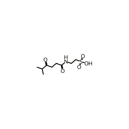 CC(C)C(=O)CCC(=O)NCCS(=O)(=O)O